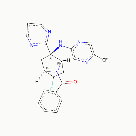 O=C(c1ccccc1)N1[C@@H]2C[C@](Nc3cnc(C(F)(F)F)cn3)(c3ncccn3)[C@@H]1CC2F